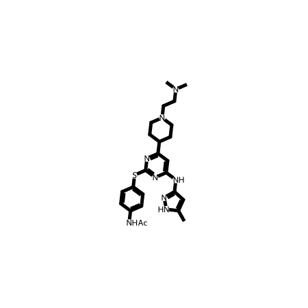 CC(=O)Nc1ccc(Sc2nc(Nc3cc(C)[nH]n3)cc(C3CCN(CCN(C)C)CC3)n2)cc1